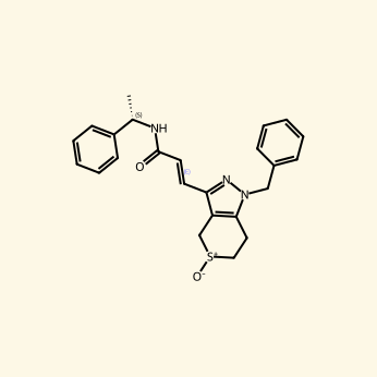 C[C@H](NC(=O)/C=C/c1nn(Cc2ccccc2)c2c1C[S+]([O-])CC2)c1ccccc1